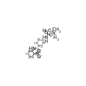 CC(C)(C)OC(=O)NC[C@H]1CC[C@H](CNc2ccccc2[N+](=O)[O-])CC1